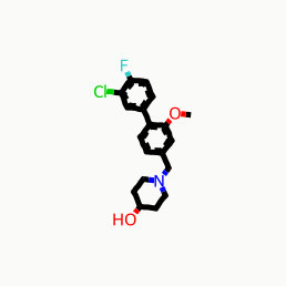 COc1cc(CN2CCC(O)CC2)ccc1-c1ccc(F)c(Cl)c1